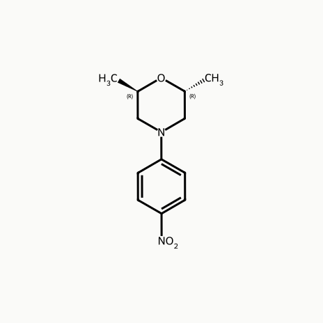 C[C@@H]1CN(c2ccc([N+](=O)[O-])cc2)C[C@@H](C)O1